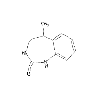 CC1CNC(=O)Nc2ccccc21